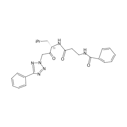 CC(C)C[C@H](NC(=O)CCNC(=O)c1ccccc1)C(=O)Cn1nnc(-c2ccccc2)n1